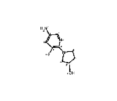 Nc1cnc(N2CC[C@@H](O)C2)c(F)c1